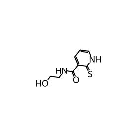 O=C(NCCO)c1ccc[nH]c1=S